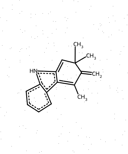 C=C1C(C)=c2c([nH]c3ccccc23)=CC1(C)C